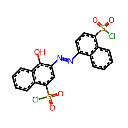 O=S(=O)(Cl)c1ccc(N=Nc2cc(S(=O)(=O)Cl)c3ccccc3c2O)c2ccccc12